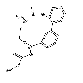 C[C@@H]1CCC[C@H](NC(=O)OC(C)(C)C)c2cccc(c2)-c2ncccc2NC1=O